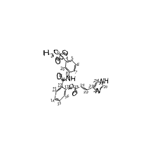 CS(=O)(=O)c1cccc(NC(=O)c2ccccc2OC(=O)/C=C/c2c[nH]cn2)c1